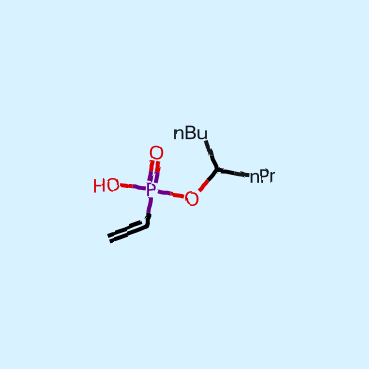 C=CP(=O)(O)OC(CCC)CCCC